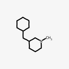 CN1CCCC(CC2CCCCC2)C1